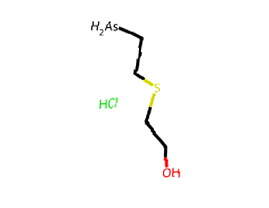 Cl.OCCSCC[AsH2]